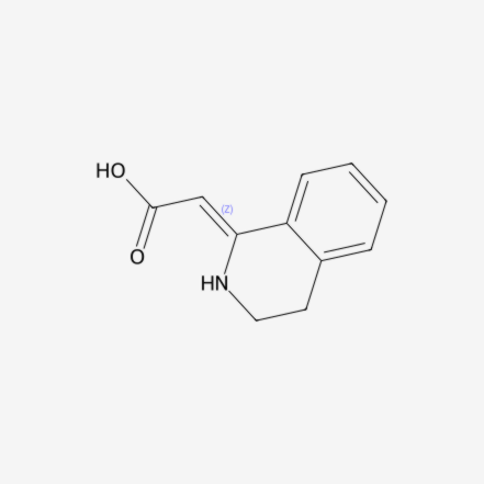 O=C(O)/C=C1\NCCc2ccccc21